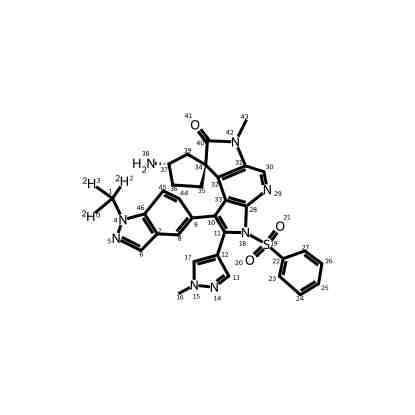 [2H]C([2H])([2H])n1ncc2cc(-c3c(-c4cnn(C)c4)n(S(=O)(=O)c4ccccc4)c4ncc5c(c34)[C@@]3(CC[C@H](N)C3)C(=O)N5C)ccc21